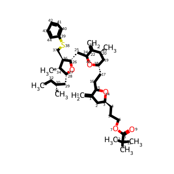 C=C1C[C@H](CCCOC(=O)C(C)(C)C)OC1CC[C@H]1C[C@@H](C)C(=C)C(C[C@@H]2O[C@H](C[C@H](C)CC)[C@H](C)[C@H]2CSc2ccccc2)O1